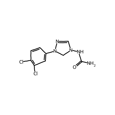 NC(=O)NN1C=NN(c2ccc(Cl)c(Cl)c2)C1